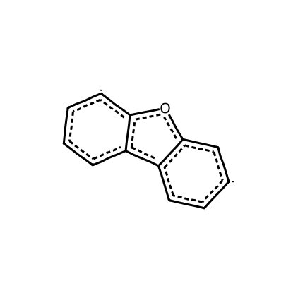 [c]1ccc2c(c1)oc1[c]cccc12